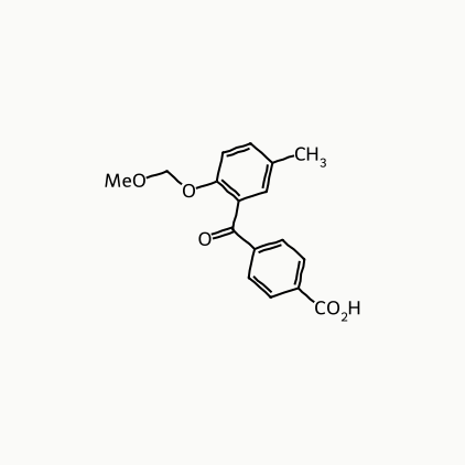 COCOc1ccc(C)cc1C(=O)c1ccc(C(=O)O)cc1